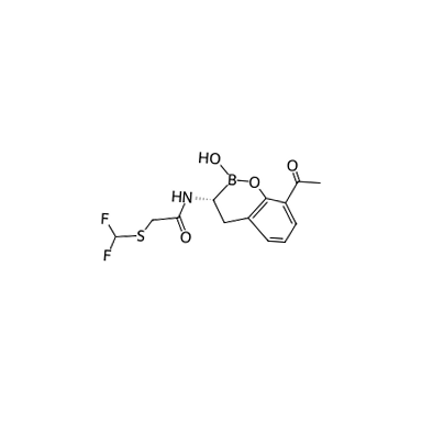 CC(=O)c1cccc2c1OB(O)[C@@H](NC(=O)CSC(F)F)C2